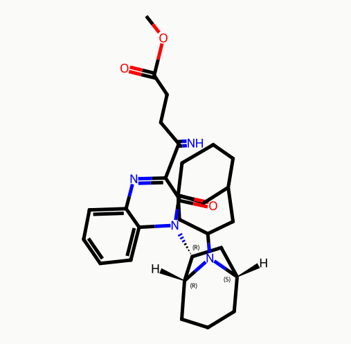 COC(=O)CCC(=N)c1nc2ccccc2n([C@@H]2C[C@@H]3CCC[C@H]2N3C2CC3CCCC(C3)C2)c1=O